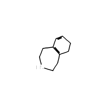 C1=CC2=C(CC1)CCNCC2